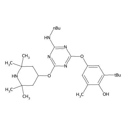 CCCCNc1nc(Oc2cc(C)c(O)c(C(C)(C)C)c2)nc(OC2CC(C)(C)NC(C)(C)C2)n1